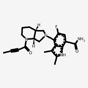 CC#CC(=O)N1CCC[C@@H]2CN(c3c(F)cc(C(N)=O)c4[nH]c(C)c(C)c34)C[C@@H]21